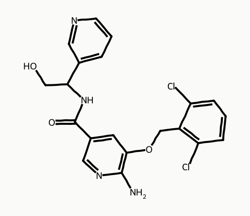 Nc1ncc(C(=O)NC(CO)c2cccnc2)cc1OCc1c(Cl)cccc1Cl